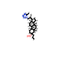 CCC[C@@]1(O)CC[C@@]2(C)[C@H](CC[C@@H]3[C@@H]2CC[C@]2(C)[C@@H]([C@H](C)Cn4nnnc4C)CC[C@@H]32)C1